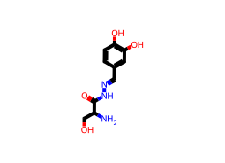 NC(CO)C(=O)N/N=C/c1ccc(O)c(O)c1